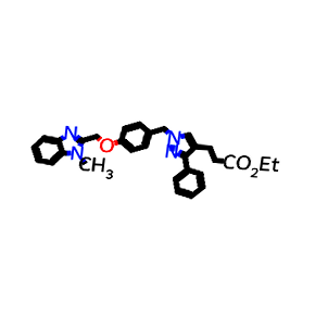 CCOC(=O)CCc1cn(Cc2ccc(OCc3nc4ccccc4n3C)cc2)nc1-c1ccccc1